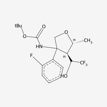 C[C@H]1OCC(NC(=O)OC(C)(C)C)(c2ccccc2F)[C@@H]1C(O)C(F)(F)F